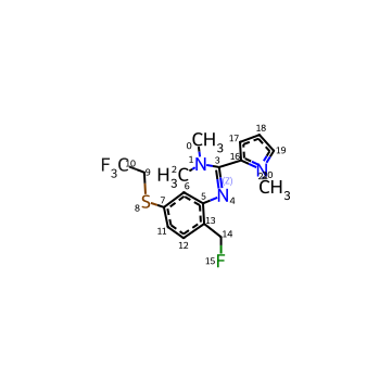 CN(C)/C(=N\c1cc(SCC(F)(F)F)ccc1CF)c1cccn1C